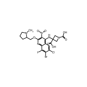 CN1CCCC1COc1nc2c(F)c(Br)c(Cl)cc2c(NC2(C(=O)O)CN(C(=O)O)C2)c1[N+](=O)[O-]